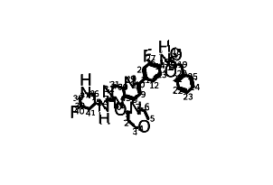 O=C1CCOCCN1c1cc(-c2ccc(NS(=O)(=O)Cc3ccccc3)c(F)c2)nc2cnc(N[C@@H]3CNC[C@@H](F)C3)nc12